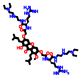 CCN(CC)CCNCCNC(=O)[C@H](CCCNC(=N)N)NC(=O)COc1cc2oc3cc(OCC(=O)N[C@@H](CCCNC(=N)N)C(=O)NCCNCCN(CC)CC)c(OC)c(CC=C(C)C)c3c(=O)c2c(O)c1CC=C(C)C